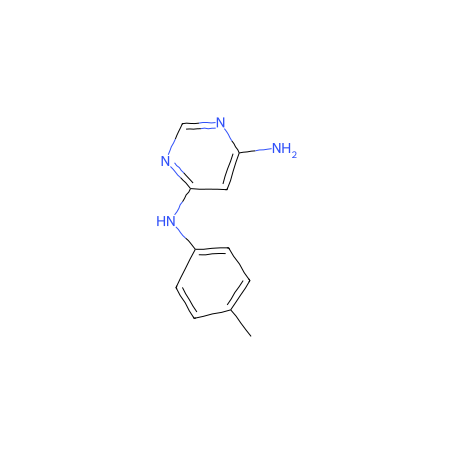 Cc1ccc(Nc2cc(N)ncn2)cc1